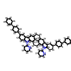 C1=C(c2ccc(-c3ccccc3)cc2)CCc2c1c1cc3c4c(c1n2-c1ccccn1)CCc1c-4c(cc2c4cc(-c5ccc(-c6ccccc6)cc5)ccc4n(-c4ccccn4)c12)CC3